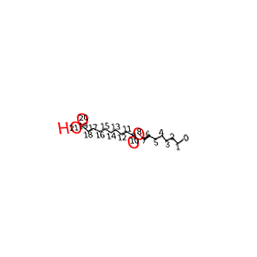 CCCCCCC=COC(=O)CCCCCCCCC(=O)O